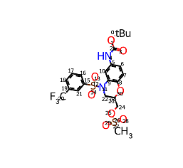 CC(C)(C)OC(=O)Nc1ccc2c(c1)N(S(=O)(=O)c1cccc(C(F)(F)F)c1)C[C@H](COS(C)(=O)=O)O2